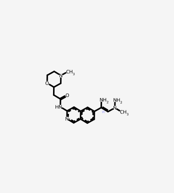 CN(N)/C=C(\N)c1ccc2cnc(NC(=O)CC3CN(C)CCO3)cc2c1